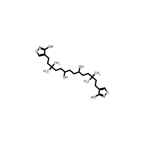 CC(C)(CCc1conc1O)CCC(O)CCC(O)CCC(C)(C)CCc1conc1O